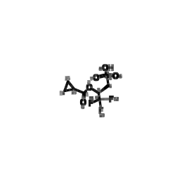 O=C(O[C@@H](CS(=O)(=O)O)C(F)(F)F)C1CC1